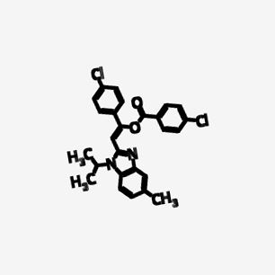 Cc1ccc2c(c1)nc(C=C(OC(=O)c1ccc(Cl)cc1)c1ccc(Cl)cc1)n2C(C)C